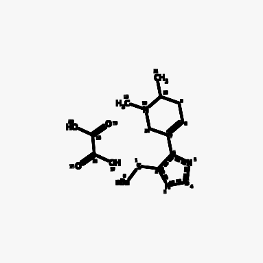 CCCCSc1nsnc1C1=CCC(C)N(C)C1.O=C(O)C(=O)O